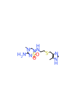 Cc1[nH]cnc1CSCCNN1CN(C)C(N)=NS1(=O)=O